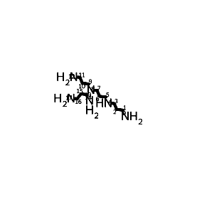 NCCCNCCCN(CCCN)C(N)CCN